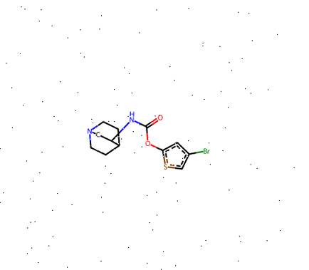 O=C(NC1CN2CCC1CC2)Oc1cc(Br)cs1